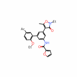 CCOc1ccc(C(C)=O)cc1-c1cc(NC(=O)c2ccco2)cc(-c2c(C)on(CC)c2=O)c1